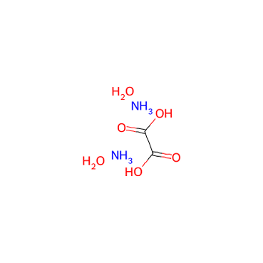 N.N.O.O.O=C(O)C(=O)O